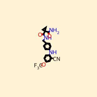 N#Cc1cc(OC(F)(F)F)ccc1Nc1ccc(CNC(=O)C2(C(N)=O)CC2)cc1